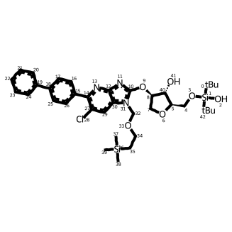 CC(C)(C)[Si](O)(OC[C@H]1OC[C@@H](Oc2nc3nc(-c4ccc(-c5ccccc5)cc4)c(Cl)cc3n2COCC[Si](C)(C)C)[C@@H]1O)C(C)(C)C